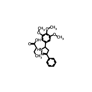 CCCC(=O)O.COc1cc(C2CC(c3ccccc3)=NN2)cc(OC)c1OC